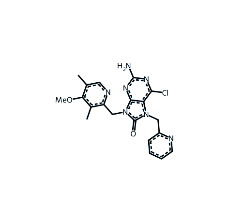 COc1c(C)cnc(Cn2c(=O)n(Cc3ccccn3)c3c(Cl)nc(N)nc32)c1C